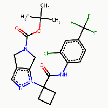 CC(C)(C)OC(=O)N1Cc2cnn(C3(C(=O)Nc4ccc(C(F)(F)F)cc4Cl)CCC3)c2C1